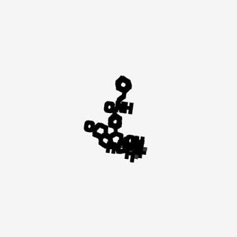 C[C@]12C[C@H](c3ccc(C(=O)NCCc4ccccc4)cc3)C3=C4CCC(=O)C=C4CC[C@H]3[C@@H]1CC[C@@]2(O)C(F)(F)C(F)(F)F